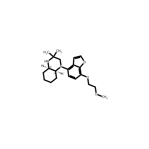 COCCOc1ccc(N2CC(C)(C)N[C@@H]3CCCC[C@@H]32)c2ccoc12